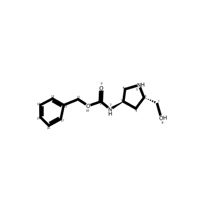 O=C(N[C@H]1CN[C@H](CO)C1)OCc1ccccc1